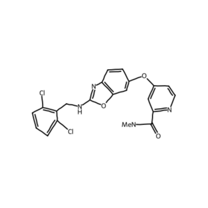 CNC(=O)c1cc(Oc2ccc3nc(NCc4c(Cl)cccc4Cl)oc3c2)ccn1